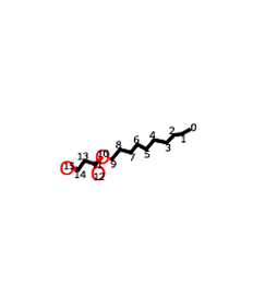 CCCCCCCCCCOC(=O)CC=O